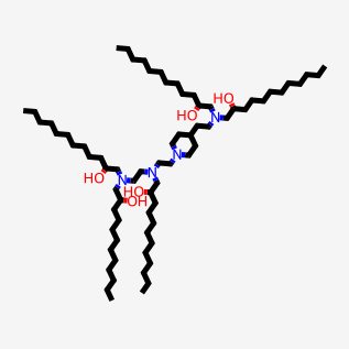 CCCCCCCCCCC(O)CN(CCN1CCC(CCN(CC(O)CCCCCCCCCC)CC(O)CCCCCCCCCC)CC1)CCN(CC(O)CCCCCCCCCC)CC(O)CCCCCCCCCC